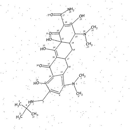 CN(C)c1cc(CNC(C)(C)C)c(O)c2c1CC1CC3C(N(C)C)C(O)=C(C(N)=O)C(=O)C3(O)C(O)=C1C2=O